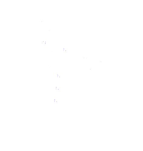 CCC1(CC)O[C@@H](n2cc(C)c(=O)[nH]c2=O)[C@@H](N=[N+]=[N-])C1OCc1ccccc1